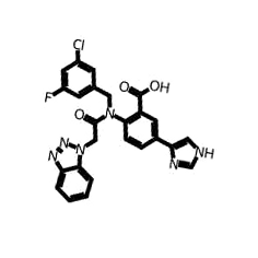 O=C(O)c1cc(-c2c[nH]cn2)ccc1N(Cc1cc(F)cc(Cl)c1)C(=O)Cn1nnc2ccccc21